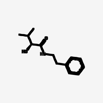 CC(C)[C@H](O)C(=O)NCCc1ccccc1